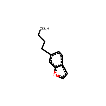 O=C(O)CCCc1ccc2ccoc2c1